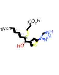 CCCCCCCCC/C=C/C=C/[C@@H](SCCC(=O)O)[C@@H](O)c1csc(N2CNN=N2)c1